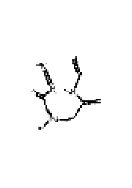 C=CNC(=C)CN(CC)C(=O)N=N